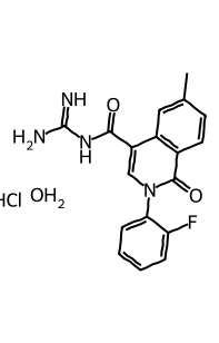 Cc1ccc2c(=O)n(-c3ccccc3F)cc(C(=O)NC(=N)N)c2c1.Cl.O